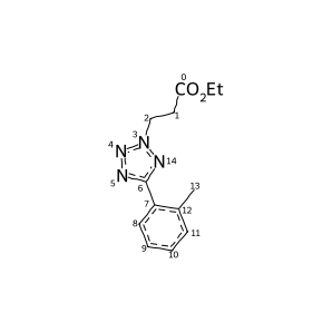 CCOC(=O)CCn1nnc(-c2ccccc2C)n1